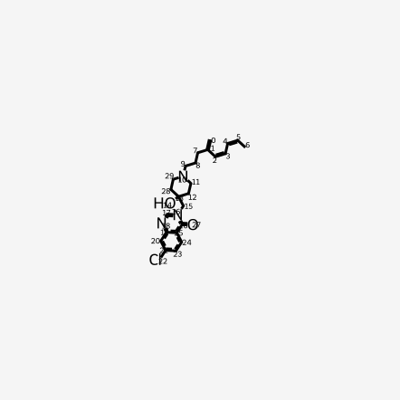 C=C(/C=C\C=C/C)CCCN1CCC(O)(Cn2cnc3cc(Cl)ccc3c2=O)CC1